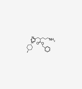 C[C@H]1CC[C@H](n2cnc(CC(CCCN)C(=O)OCc3ccccc3)c2)CC1